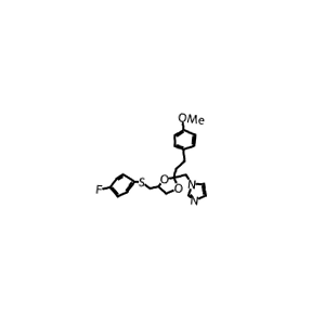 COc1ccc(CCC2(Cn3ccnc3)OCC(CSc3ccc(F)cc3)O2)cc1